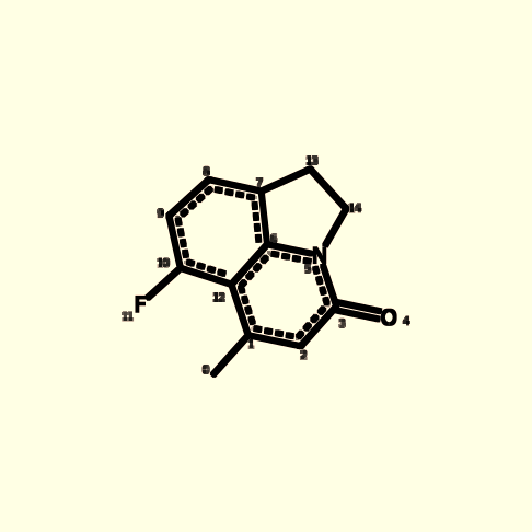 Cc1cc(=O)n2c3c(ccc(F)c13)CC2